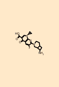 NC1CC2CCN(c3nc4c(cc3F)c(=O)c(C(=O)O)cn4C3CC3)CC12